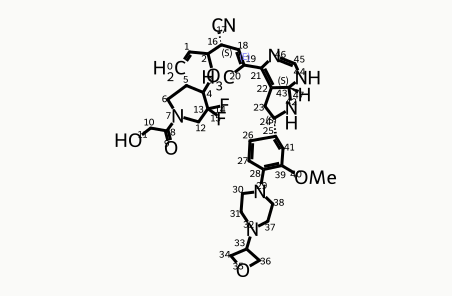 C=CC(OC1CCN(C(=O)CO)CC1(F)F)[C@H](C#N)/C=C(\C)C1=C2C[C@@H](c3ccc(N4CCN(C5COC5)CC4)c(OC)c3)N[C@H]2NC=N1